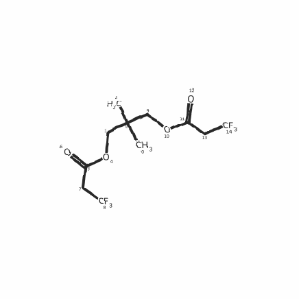 CC(C)(COC(=O)CC(F)(F)F)COC(=O)CC(F)(F)F